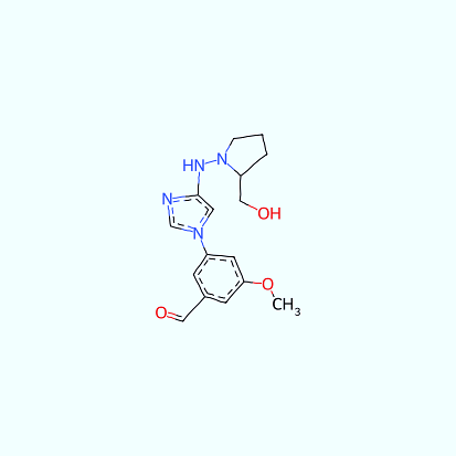 COc1cc(C=O)cc(-n2cnc(NN3CCCC3CO)c2)c1